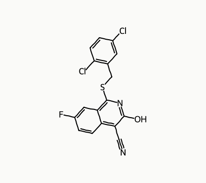 N#Cc1c(O)nc(SCc2cc(Cl)ccc2Cl)c2cc(F)ccc12